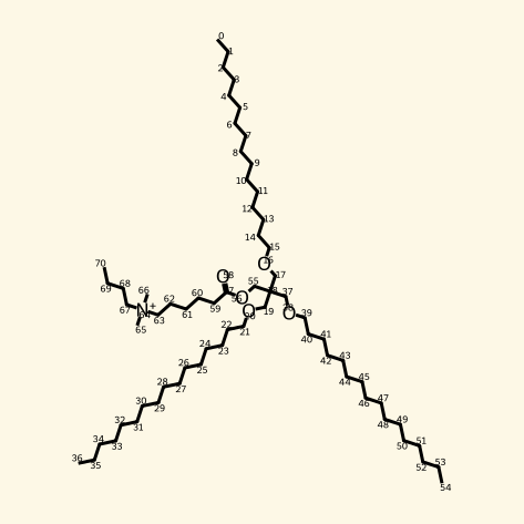 CCCCCCCCCCCCCCCCOCC(COCCCCCCCCCCCCCCCC)(COCCCCCCCCCCCCCCCC)COC(=O)CCCCC[N+](C)(C)CCCC